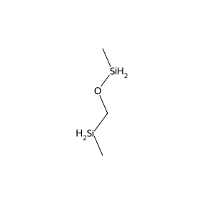 C[SiH2]CO[SiH2]C